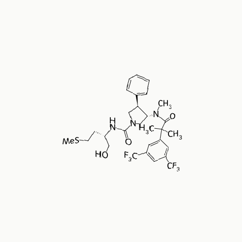 CSCC[C@@H](CO)NC(=O)N1C[C@@H](N(C)C(=O)C(C)(C)c2cc(C(F)(F)F)cc(C(F)(F)F)c2)[C@H](c2ccccc2)C1